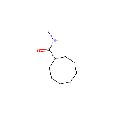 O=C(NI)C1CCCCCCC1